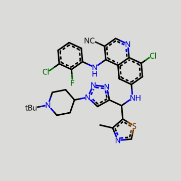 Cc1ncsc1C(Nc1cc(Cl)c2ncc(C#N)c(Nc3cccc(Cl)c3F)c2c1)c1cn(C2CCN(C(C)(C)C)CC2)nn1